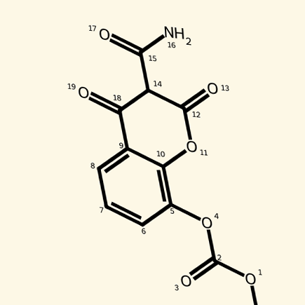 COC(=O)Oc1cccc2c1OC(=O)C(C(N)=O)C2=O